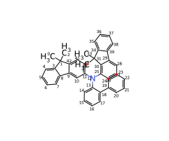 CC1(C)c2ccccc2-c2cc(N(c3ccccc3-c3ccccc3)c3cccc4c3C(C)(C)c3ccccc3-4)ccc21